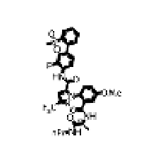 CCCNC(=O)[C@H](C)NC(=O)c1cc(OC)ccc1-n1nc(C(F)(F)F)cc1C(=O)Nc1ccc(-c2ccccc2S(C)(=O)=O)cc1F